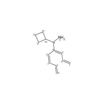 C=C/C=C\C(=C/C=C)C(N)C1CCC1